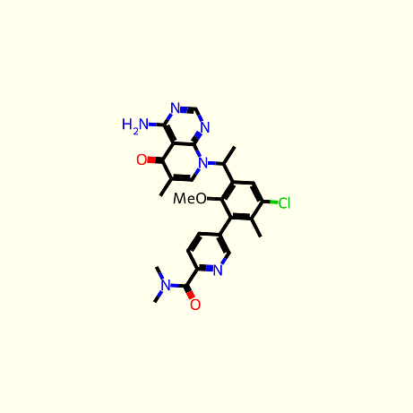 COc1c(C(C)n2cc(C)c(=O)c3c(N)ncnc32)cc(Cl)c(C)c1-c1ccc(C(=O)N(C)C)nc1